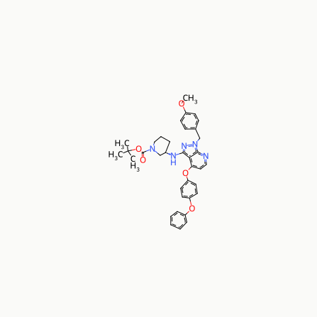 COc1ccc(Cn2nc(N[C@@H]3CCCN(C(=O)OC(C)(C)C)C3)c3c(Oc4ccc(Oc5ccccc5)cc4)ccnc32)cc1